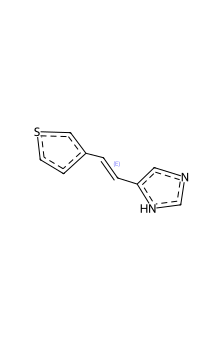 C(=C\c1cnc[nH]1)/c1ccsc1